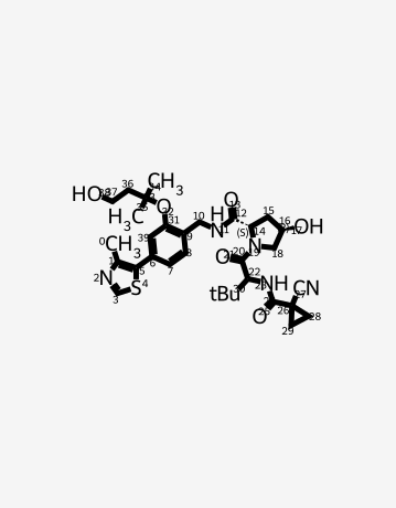 Cc1ncsc1-c1ccc(CNC(=O)[C@@H]2C[C@@H](O)CN2C(=O)C(NC(=O)C2(C#N)CC2)C(C)(C)C)c(OC(C)(C)CCO)c1